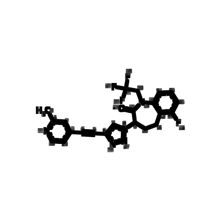 Cc1cc(C#Cc2cn(C3CCc4c(F)cccc4N(CC(F)(F)F)C3=O)nn2)ccn1